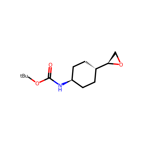 CC(C)(C)OC(=O)N[C@H]1CC[C@H]([C@H]2CO2)CC1